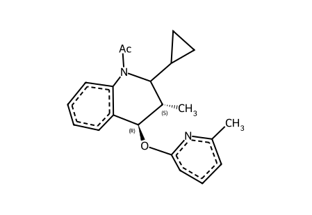 CC(=O)N1c2ccccc2[C@H](Oc2cccc(C)n2)[C@@H](C)C1C1CC1